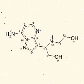 Nc1ccnc2c(C(CO)NCCO)cnn12